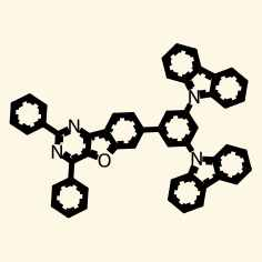 c1ccc(-c2nc(-c3ccccc3)c3oc4cc(-c5cc(-n6c7ccccc7c7ccccc76)cc(-n6c7ccccc7c7ccccc76)c5)ccc4c3n2)cc1